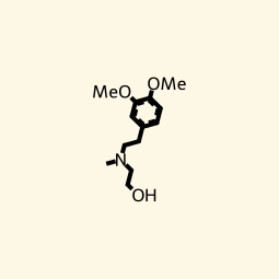 COc1ccc(CCN(C)CCO)cc1OC